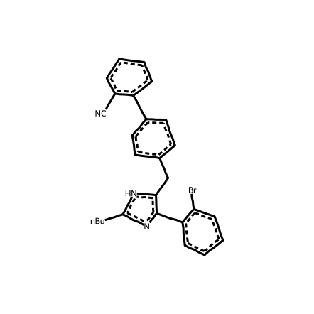 CCCCc1nc(-c2ccccc2Br)c(Cc2ccc(-c3ccccc3C#N)cc2)[nH]1